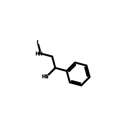 SC(CNI)c1ccccc1